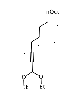 CCCCCCCCCCCCC#CC(OCC)OCC